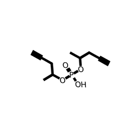 C#CCC(C)OP(=O)(O)OC(C)CC#C